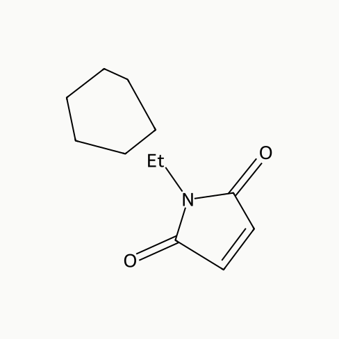 C1CCCCC1.CCN1C(=O)C=CC1=O